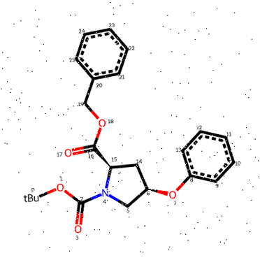 CC(C)(C)OC(=O)N1C[C@H](Oc2ccccc2)C[C@@H]1C(=O)OCc1ccccc1